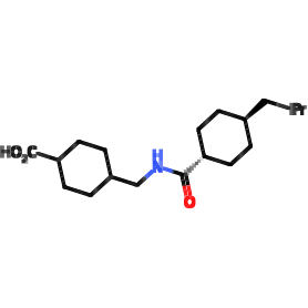 CC(C)C[C@H]1CC[C@H](C(=O)NCC2CCC(C(=O)O)CC2)CC1